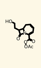 CC(=O)OOC(=O)C1=CC=CCC2C(CCO)C(=O)N12